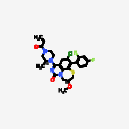 C=CC(=O)N1CCN(c2nc(=O)n3c4c(c(-c5ccc(F)cc5F)c(Cl)cc24)SC[C@@H](OC)C3)[C@@H](C)C1